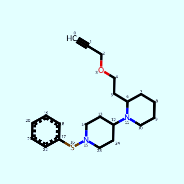 C#CCOCCC1CCCCN1C1CCN(Sc2ccccc2)CC1